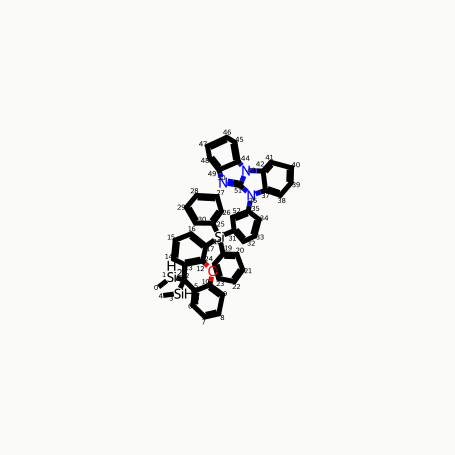 C[SiH2]C1([SiH2]C)c2ccccc2Oc2c1cccc2[Si](c1ccccc1)(c1ccccc1)c1cccc(-n2c3ccccc3n3c4ccccc4nc23)c1